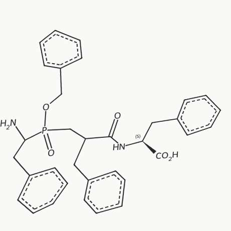 NC(Cc1ccccc1)P(=O)(CC(Cc1ccccc1)C(=O)N[C@@H](Cc1ccccc1)C(=O)O)OCc1ccccc1